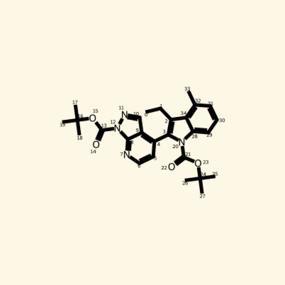 CCc1c(-c2ccnc3c2cnn3C(=O)OC(C)(C)C)n(C(=O)OC(C)(C)C)c2cccc(C)c12